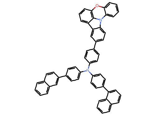 c1ccc2c(c1)Oc1cccc3c4cc(-c5ccc(N(c6ccc(-c7ccc8ccccc8c7)cc6)c6ccc(-c7cccc8ccccc78)cc6)cc5)ccc4n-2c13